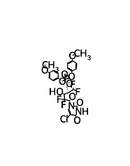 COc1ccc(OP(=O)(OC[C@]2(C(F)F)O[C@H](n3cc(Cl)c(=O)[nH]c3=O)C(F)(F)C2O)Oc2ccc(OC)cc2)cc1